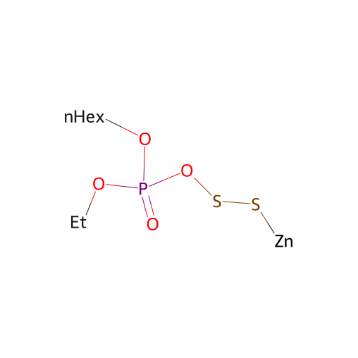 CCCCCCOP(=O)(OCC)OS[S][Zn]